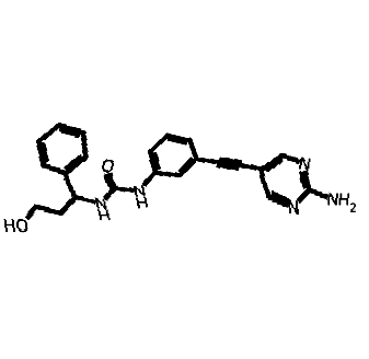 Nc1ncc(C#Cc2cccc(NC(=O)NC(CCO)c3ccccc3)c2)cn1